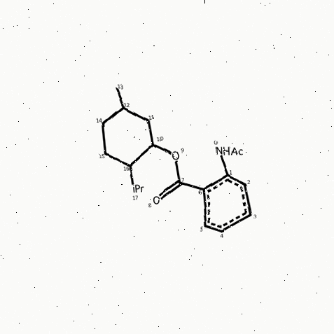 CC(=O)Nc1ccccc1C(=O)OC1CC(C)CCC1C(C)C